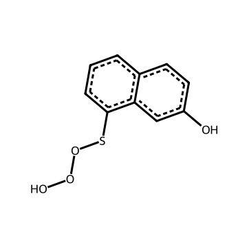 OOOSc1cccc2ccc(O)cc12